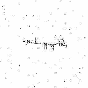 NCCCNCCCCNCCCNC#CC([N+](=O)[O-])[N+](=O)[O-]